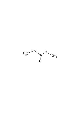 C[CH2][Ti](=[O])[O]C